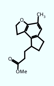 COC(=O)CCC1CCc2cc(C)c3c(c21)CCO3